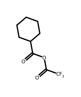 O=C(OC(=O)C(F)(F)F)C1CCCCC1